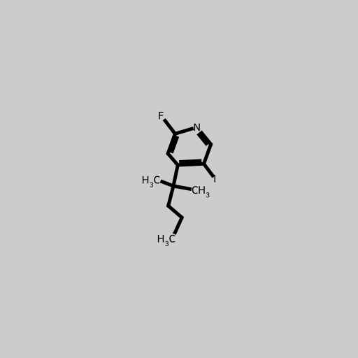 CCCC(C)(C)c1cc(F)ncc1I